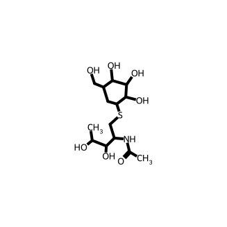 CC(=O)NC(CSC1CC(CO)C(O)C(O)C1O)C(O)C(C)O